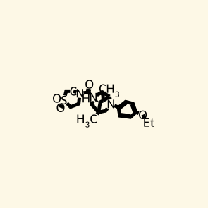 CCOc1ccc(N2CC3(C)CN(C(=O)N4CCS(=O)(=O)CC4)CC2C(C)(C)C3)cc1